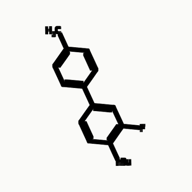 CCCCc1ccc(-c2ccc(C)cc2)cc1F